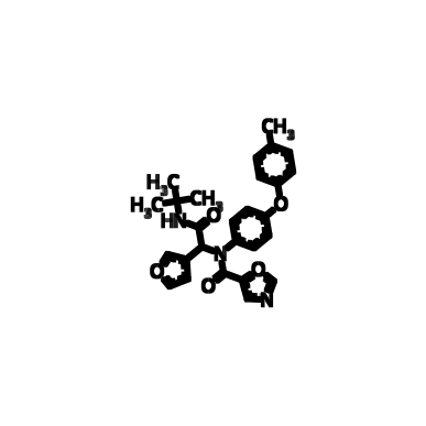 Cc1ccc(Oc2ccc(N(C(=O)c3cnco3)C(C(=O)NC(C)(C)C)c3ccoc3)cc2)cc1